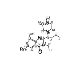 CCC[C@H](c1nc2c(F)cc(Br)cc2c(=O)n1CC)N1CCN[C@H](C)C1